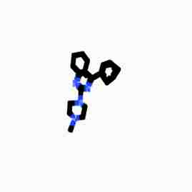 CN1CCN(c2nc3c(c(-c4ccccc4)n2)CCCC3)CC1